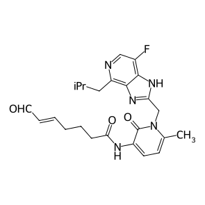 Cc1ccc(NC(=O)CCC/C=C/C=O)c(=O)n1Cc1nc2c(CC(C)C)ncc(F)c2[nH]1